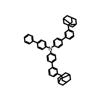 c1ccc(-c2ccc(N(c3ccc(-c4cccc(C56CC7CC(CC(C7)C5)C6)c4)cc3)c3ccc(-c4cccc(C56CC7CC(CC(C7)C5)C6)c4)cc3)cc2)cc1